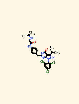 CC(C)NCC(=O)Nc1ccc(Cc2nc3n(-c4c(Cl)cc(Cl)cc4Cl)[nH]c(C(C)C)c-3c(=O)n2)cc1